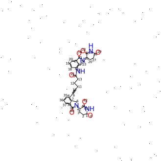 O=C1CCC(N2Cc3c(C#CCCCC(=O)Nc4cccc5c4CN(C4CCC(=O)NC4=O)C5=O)cccc3C2=O)C(=O)N1